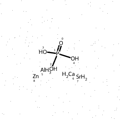 O=P(O)(O)O.[AlH3].[CaH2].[SrH2].[Zn]